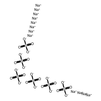 O=S(=O)([O-])[O-].O=S(=O)([O-])[O-].O=S(=O)([O-])[O-].O=S(=O)([O-])[O-].O=S(=O)([O-])[O-].O=S(=O)([O-])[O-].[Na+].[Na+].[Na+].[Na+].[Na+].[Na+].[Na+].[Na+].[Na+].[Na+].[Na+].[Na+]